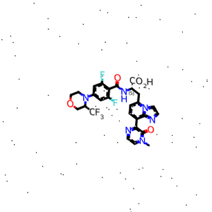 Cn1ccnc(-c2ccc(C[C@H](NC(=O)c3c(F)cc(N4CCOCC4C(F)(F)F)cc3F)C(=O)O)n3ccnc23)c1=O